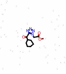 COC(=O)Cn1nnnc1C(=O)C1CCCCC1